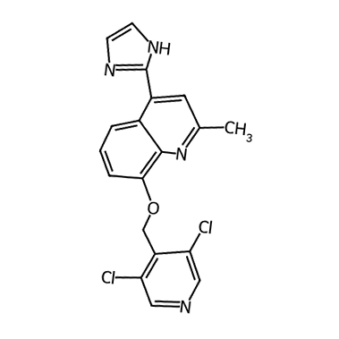 Cc1cc(-c2ncc[nH]2)c2cccc(OCc3c(Cl)cncc3Cl)c2n1